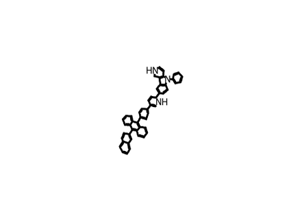 C1=Cc2c(c3cc(C4C=CC(c5ccc(-c6c7ccccc7c(-c7ccc8ccccc8c7)c7ccccc67)cc5)=CN4)ccc3n2-c2ccccc2)CN1